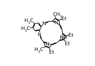 CCC1=C(C)c2cnc3cc(C)c(C)cc3ncc3nc(cc4[nH]c(cc1n2)c(CC)c4CC)C(CC)=C3C